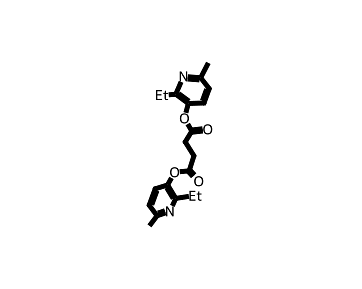 CCc1nc(C)ccc1OC(=O)CCC(=O)Oc1ccc(C)nc1CC